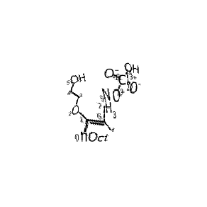 CCCCCCCCC(OCCO)=C(C)C.N.[O-][Cl+3]([O-])([O-])O